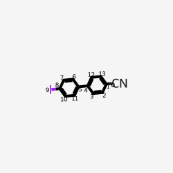 N#Cc1ccc(-c2ccc(I)cc2)cc1